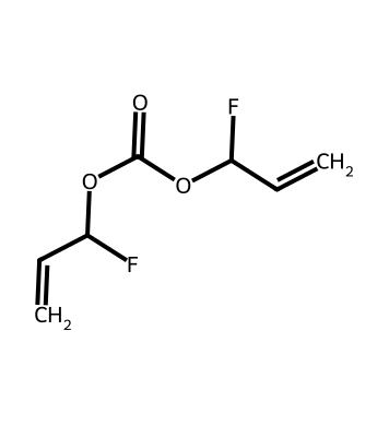 C=CC(F)OC(=O)OC(F)C=C